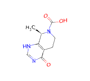 C[C@@H]1c2[nH]cnc(=O)c2CCN1C(=O)O